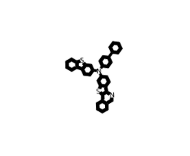 c1ccc(-c2ccc(N(c3ccc4c(c3)sc3ccccc34)c3ccc4c(c3)sc3c5ccccc5cnc43)cc2)cc1